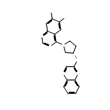 Cc1cc2ncnc(N3CC[C@@H](Oc4cnc5ccccc5n4)C3)c2cc1C